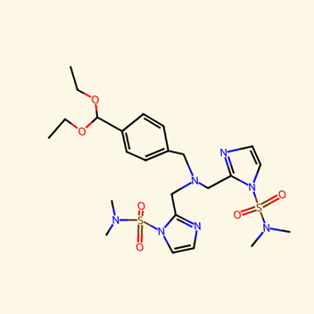 CCOC(OCC)c1ccc(CN(Cc2nccn2S(=O)(=O)N(C)C)Cc2nccn2S(=O)(=O)N(C)C)cc1